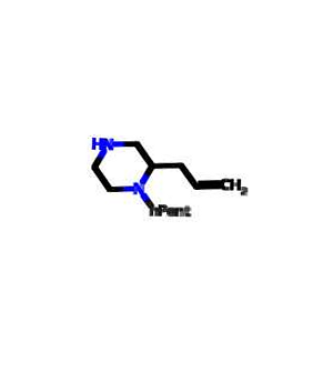 [CH2]CCCCN1CCNCC1CC=C